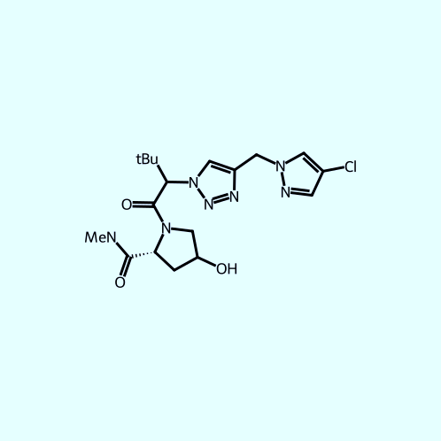 CNC(=O)[C@H]1CC(O)CN1C(=O)C(n1cc(Cn2cc(Cl)cn2)nn1)C(C)(C)C